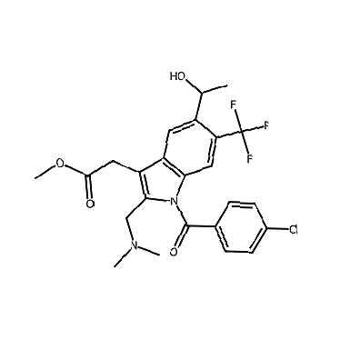 COC(=O)Cc1c(CN(C)C)n(C(=O)c2ccc(Cl)cc2)c2cc(C(F)(F)F)c(C(C)O)cc12